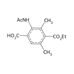 CCOC(=O)c1c(C)cc(C(=O)O)c(NC(C)=O)c1C